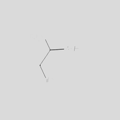 CC(C)CC([AsH2])C(=O)O